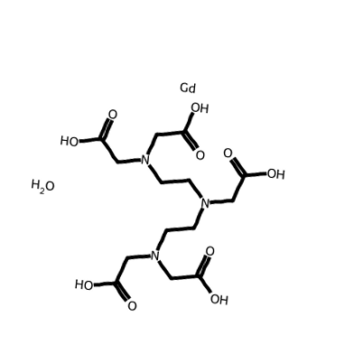 O.O=C(O)CN(CCN(CC(=O)O)CC(=O)O)CCN(CC(=O)O)CC(=O)O.[Gd]